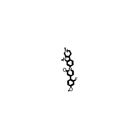 COc1ccc(-c2ccn(-c3ccc4c5c(n(C)c4c3)CN(C)CC5)c(=O)c2)c(F)c1